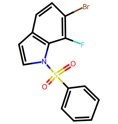 O=S(=O)(c1ccccc1)n1ccc2ccc(Br)c(F)c21